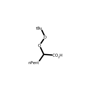 CCCCCC(OOC(C)(C)C)C(=O)O